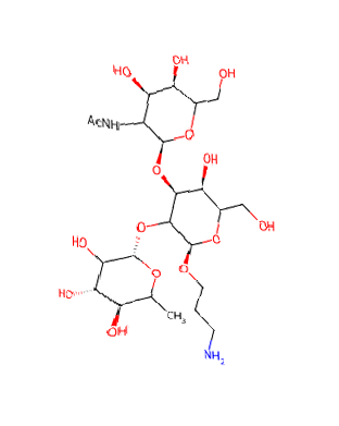 CC(=O)NC1[C@H](O[C@@H]2C(O[C@@H]3OC(C)[C@@H](O)[C@H](O)C3O)[C@H](OCCCN)OC(CO)[C@@H]2O)OC(CO)[C@H](O)[C@@H]1O